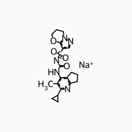 Cc1c(C2CC2)nc2c(c1NC(=O)[N-]S(=O)(=O)c1cnn3c1OCCC3)CCC2.[Na+]